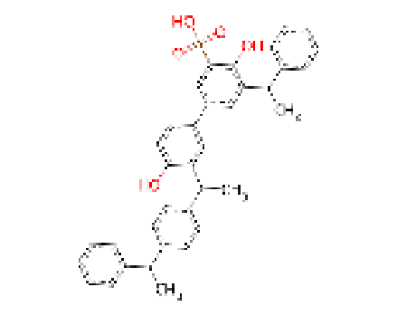 CC(c1ccccc1)c1ccc(C(C)c2cc(-c3cc(C(C)c4ccccc4)c(O)c(S(=O)(=O)O)c3)ccc2O)cc1